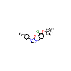 CCOC(=O)C(C)(C)Oc1ccc(CN2CCN(c3ccc(C(F)(F)F)cc3)C2=O)cc1Cl